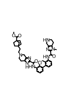 COC(=O)C12CCC(CCN3CCc4[nH]c(C(=O)Nc5cccc(-c6cccc(NC(=O)c7nc8c(n7C)CCNC8)c6C)c5Cl)nc4C3)(CC1)C2